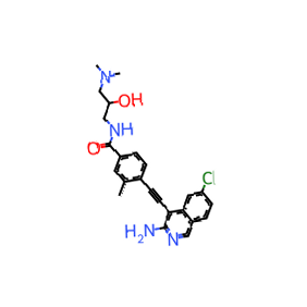 Cc1cc(C(=O)NCC(O)CN(C)C)ccc1C#Cc1c(N)ncc2ccc(Cl)cc12